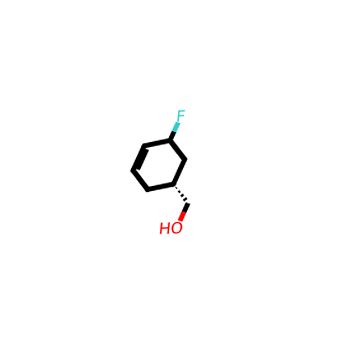 OC[C@@H]1CC=CC(F)C1